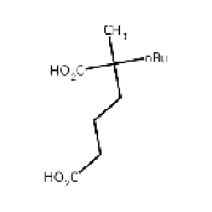 CCCCC(C)(CCCC(=O)O)C(=O)O